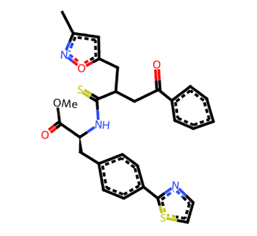 COC(=O)[C@H](Cc1ccc(-c2nccs2)cc1)NC(=S)C(CC(=O)c1ccccc1)Cc1cc(C)no1